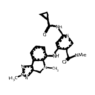 CNC(=O)c1cnc(NC(=O)C2CC2)cc1Nc1cccc2c1N(C)Cc1nn(C)nc1-2